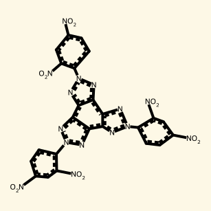 O=[N+]([O-])c1ccc(-n2nc3c4nn(-c5ccc([N+](=O)[O-])cc5[N+](=O)[O-])nc4c4nn(-c5ccc([N+](=O)[O-])cc5[N+](=O)[O-])nc4c3n2)c([N+](=O)[O-])c1